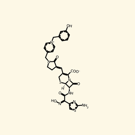 Nc1nc(/C(=N/O)C(=O)N[C@@H]2C(=O)N3C(C(=O)[O-])=C(/C=C4\CCN(Cc5cc[n+](Cc6cccc(O)c6)cc5)C4=O)CS[C@H]23)cs1